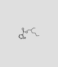 CCCCC(CC)COC(=O)c1ccc[se]1